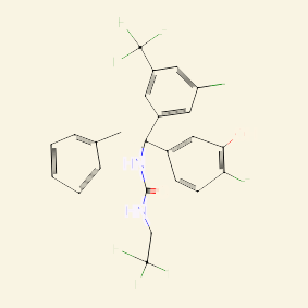 O=C(NCC(F)(F)F)N[C@@](Cc1ccccc1)(c1cc(F)cc(C(F)(F)F)c1)c1ccc(F)c(O)c1